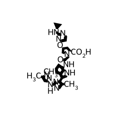 Cc1cnc(Nc2cc(C)n(C)n2)nc1-c1c[nH]c2c(NC(=O)CN3C[C@@H](Oc4ccnc(NC5CC5)n4)C[C@H]3C(=O)O)cccc12